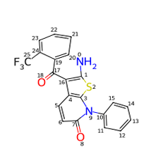 Nc1sc2c(ccc(=O)n2-c2ccccc2)c1C(=O)c1ccccc1C(F)(F)F